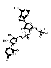 Nc1ncnc2c1ncn2[C@@H]1O[C@H](COP(=O)(O)O)[C@@H](OP(=O)(O)OC[C@H]2O[C@@H](n3ccc(=O)[nH]c3=O)[C@H](O)[C@@H]2O)[C@H]1F